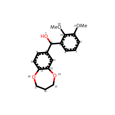 COc1cccc(C(O)c2ccc3c(c2)OCCCO3)c1OC